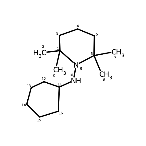 CC1(C)CCCC(C)(C)N1NC1CCCCC1